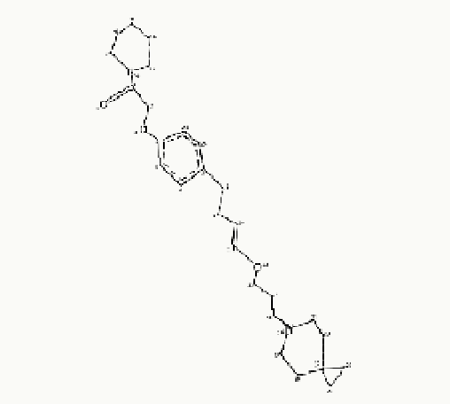 O=C(COc1ccc(CCC=NOCCCN2CCC3(CC2)CC3)cc1)N1CCCCC1